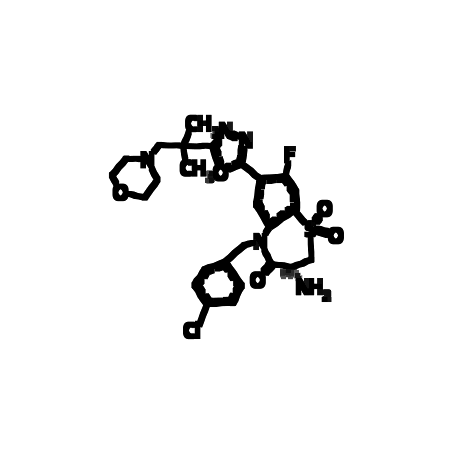 CC(C)(CN1CCOCC1)c1nnc(-c2cc3c(cc2F)S(=O)(=O)C[C@H](N)C(=O)N3Cc2ccc(Cl)cc2)o1